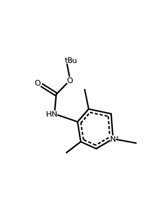 Cc1c[n+](C)cc(C)c1NC(=O)OC(C)(C)C